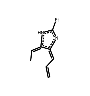 C=C/C=c1/nc(CC)[nH]/c1=C/C